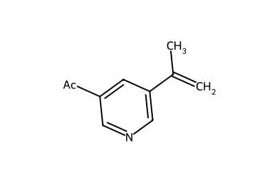 C=C(C)c1cncc(C(C)=O)c1